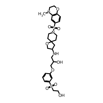 CN1CCOc2ccc(S(=O)(=O)N3CCC4(CC3)CC(NCC(O)COc3cccc(S(=O)(=O)CCO)c3)CO4)cc21